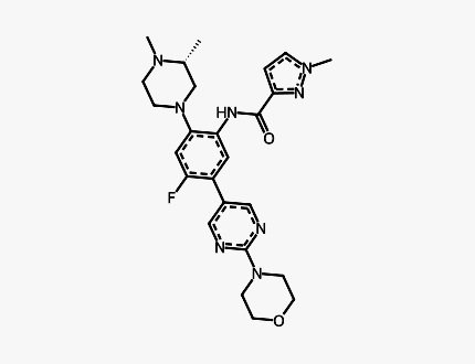 C[C@@H]1CN(c2cc(F)c(-c3cnc(N4CCOCC4)nc3)cc2NC(=O)c2ccn(C)n2)CCN1C